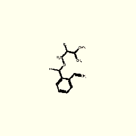 C=Cc1ccccc1C(CC)O[SiH2]C(CC)C(C)OC